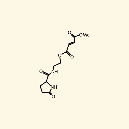 COC(=O)/C=C/C(=O)OCCNC(=O)C1CCC(=O)N1